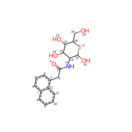 O=C(Cc1cccc2ccccc12)NC1C(O)SC(CO)C(O)C1O